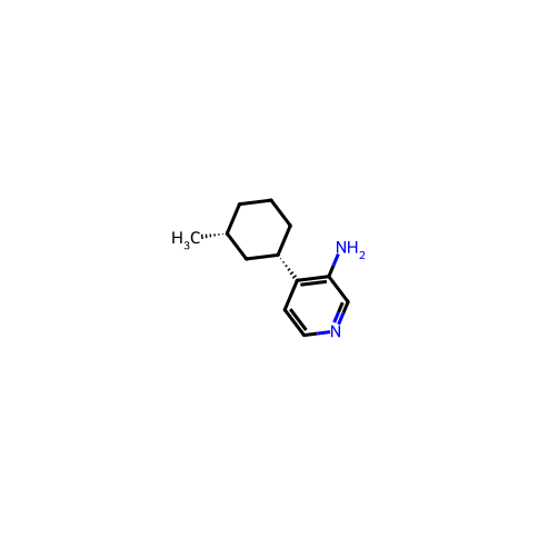 C[C@@H]1CCC[C@H](c2ccncc2N)C1